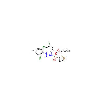 COC(=O)c1sccc1S(=O)(=O)Nc1ccc(F)c(F)c1Nc1ccc(I)cc1F